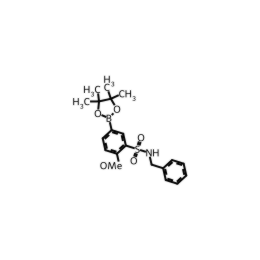 COc1ccc(B2OC(C)(C)C(C)(C)O2)cc1S(=O)(=O)NCc1ccccc1